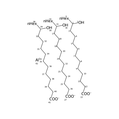 CCCCCCC(O)CCCCCCCCCCC(=O)[O-].CCCCCCC(O)CCCCCCCCCCC(=O)[O-].CCCCCCC(O)CCCCCCCCCCC(=O)[O-].[Al+3]